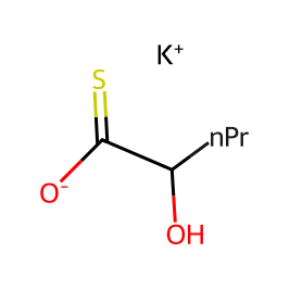 CCCC(O)C([O-])=S.[K+]